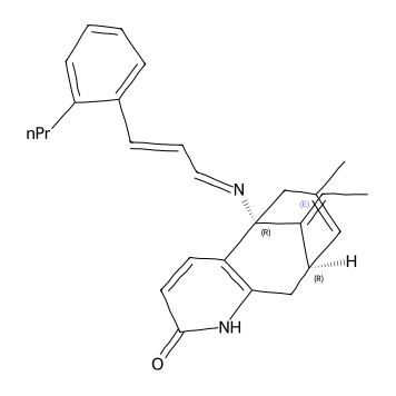 C/C=C1\[C@H]2C=C(C)C[C@]1(N=CC=Cc1ccccc1CCC)c1ccc(=O)[nH]c1C2